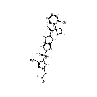 Cc1cn(CC(F)F)nc1S(=O)(=O)n1cc2c(n1)CN(C(=O)C1(c3ncccc3Cl)COC1)C2